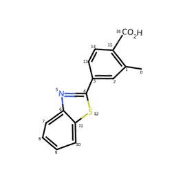 Cc1cc(-c2nc3ccccc3s2)ccc1C(=O)O